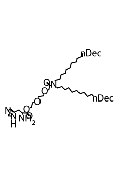 CCCCCCCCCCCCCCCCCCCCN(CCCCCCCCCCCCCCCCCCCC)C(=O)COCCOCCOC(=O)C(N)Cc1cnc[nH]1